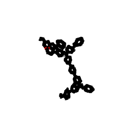 C=Cc1ccc(-c2ccc3c(c2)c2cc(-c4ccc(-c5ccc(N(c6ccc(-c7ccccc7)cc6)c6ccc7c(c6)C(Cc6cccc(C=C)c6)(c6ccccc6)c6ccccc6-7)cc5)cc4)ccc2n3-c2ccccc2)cc1